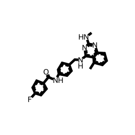 CNc1nc(NCc2ccc(NC(=O)c3ccc(F)cc3)cc2)c2c(C)cccc2n1